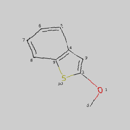 COc1cc2[c]cccc2s1